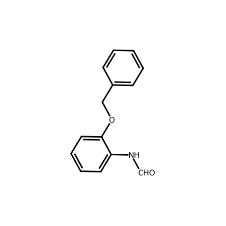 O=CNc1ccccc1OCc1ccccc1